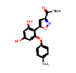 COC(=O)c1cc(-c2c(O)cc(O)cc2Oc2ccc([N+](=O)[O-])cc2)on1